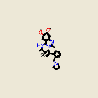 COc1cc2nc(C)nc(NC(C)c3cc(-c4ccccc4CN4CCCC4)c[se]3)c2cc1OC